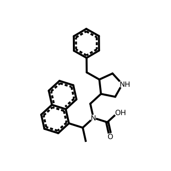 CC(c1cccc2ccccc12)N(CC1CNCC1Cc1ccccc1)C(=O)O